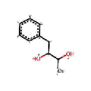 CCC(C)C(O)C(O)Cc1ccccc1